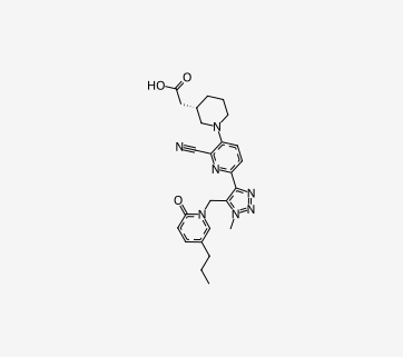 CCCc1ccc(=O)n(Cc2c(-c3ccc(N4CCC[C@@H](CC(=O)O)C4)c(C#N)n3)nnn2C)c1